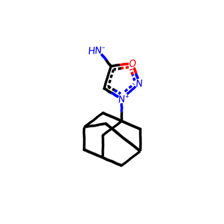 [NH-]c1c[n+](C23CC4CC(CC(C4)C2)C3)no1